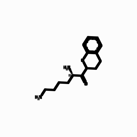 NCCCC[C@H](N)C(=O)C1CCc2ccccc2O1